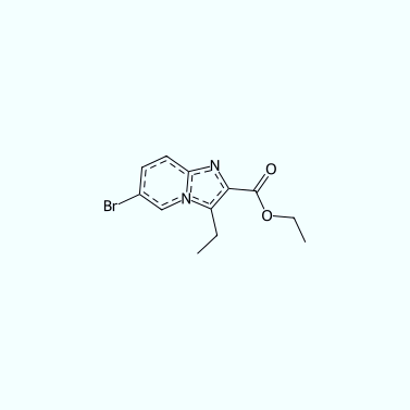 CCOC(=O)c1nc2ccc(Br)cn2c1CC